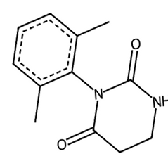 Cc1cccc(C)c1N1C(=O)CCNC1=O